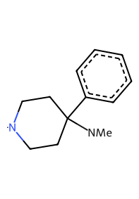 CNC1(c2ccccc2)CC[N]CC1